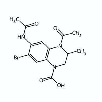 CC(=O)Nc1cc2c(cc1Br)N(C(=O)O)CC(C)N2C(C)=O